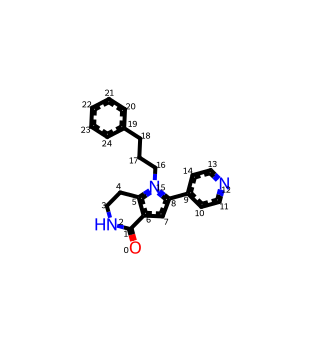 O=C1NCCc2c1cc(-c1ccncc1)n2CCCc1ccccc1